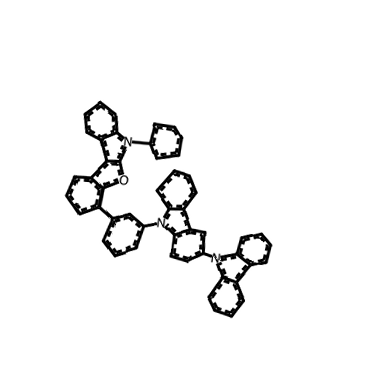 c1ccc(-n2c3ccccc3c3c4cccc(-c5cccc(-n6c7ccccc7c7cc(-n8c9ccccc9c9ccccc98)ccc76)c5)c4oc32)cc1